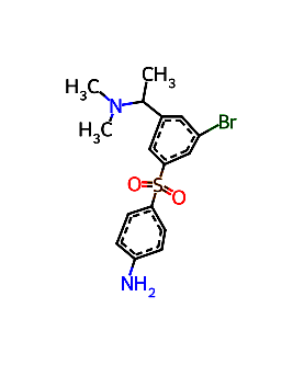 CC(c1cc(Br)cc(S(=O)(=O)c2ccc(N)cc2)c1)N(C)C